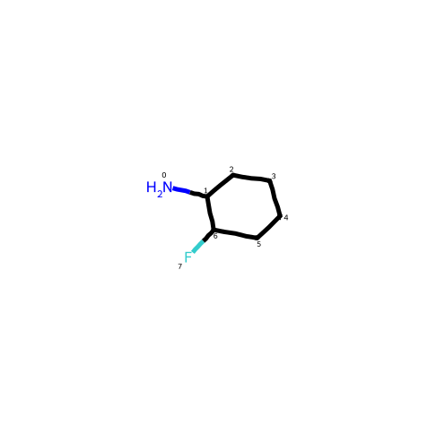 NC1CC[CH]CC1F